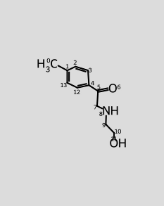 Cc1ccc(C(=O)CNCCO)cc1